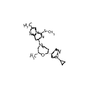 CSc1nc(N2C[C@@H](C)O[C@@H](c3cnn(C4CC4)c3)C2)cc2nc(C)cn12